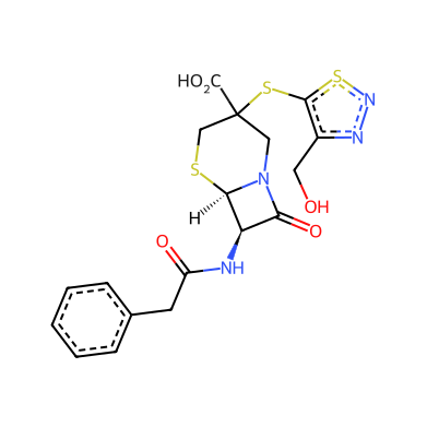 O=C(Cc1ccccc1)N[C@@H]1C(=O)N2CC(Sc3snnc3CO)(C(=O)O)CS[C@H]12